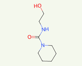 O=C(NCCO)N1CCCCC1